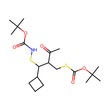 CC(=O)C(CSC(=O)OC(C)(C)C)C(SNC(=O)OC(C)(C)C)C1CCC1